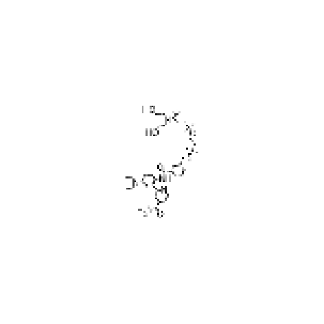 CCN(CC)c1ccc(NC(=O)c2cccc(CSC(C)(C)CCOC(C)(C)CCC(=O)N(CCO)CCO)c2)c(-c2cc(C(N)=O)ccn2)c1